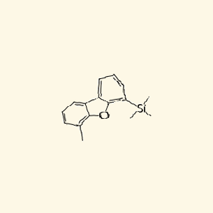 Cc1cccc2c1oc1c([Si](C)(C)C)cccc12